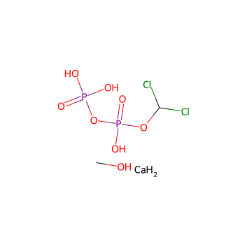 CO.O=P(O)(O)OP(=O)(O)OC(Cl)Cl.[CaH2]